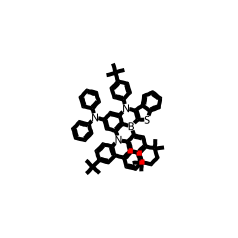 CC(C)(C)c1ccc(N2c3cc(N(c4ccccc4)c4ccccc4)cc4c3B(c3cc5c(cc3N4c3ccc(C(C)(C)C)cc3-c3ccccc3)C(C)(C)CCC5(C)C)c3sc4ccccc4c32)cc1